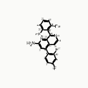 Nc1cc(-c2ccc(F)cc2F)c2ccnc(-c3c(F)cccc3F)c2n1